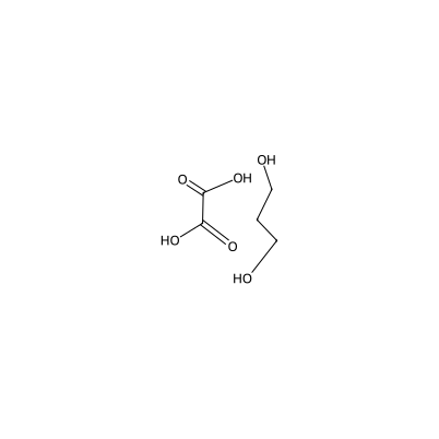 O=C(O)C(=O)O.OCCCO